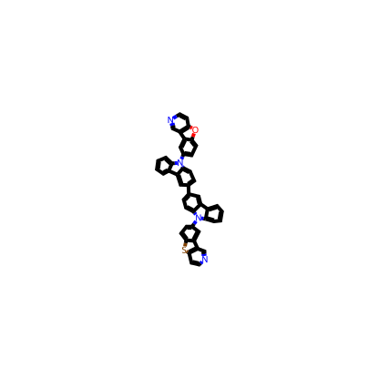 c1ccc2c(c1)c1cc(-c3ccc4c(c3)c3ccccc3n4-c3ccc4sc5ccncc5c4c3)ccc1n2-c1ccc2oc3ccncc3c2c1